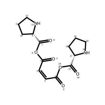 O=C(/C=C\C(=O)OC(=O)[C@@H]1CCCN1)OC(=O)[C@@H]1CCCN1